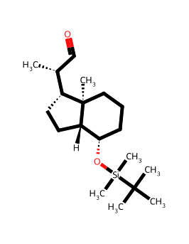 C[C@H](C=O)[C@H]1CC[C@H]2[C@@H](O[Si](C)(C)C(C)(C)C)CCC[C@]12C